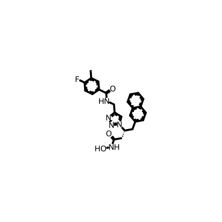 Cc1cc(C(=O)NCc2cn([C@@H](CC(=O)NO)Cc3ccc4ccccc4c3)nn2)ccc1F